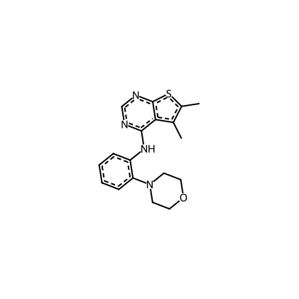 Cc1sc2ncnc(Nc3ccccc3N3CCOCC3)c2c1C